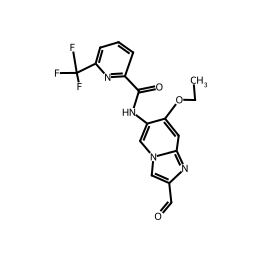 CCOc1cc2nc(C=O)cn2cc1NC(=O)c1cccc(C(F)(F)F)n1